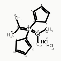 C[C](C)=[Zr]([C]1=CC=CC1)([C]1=CC=CC1)=[Ge]([CH3])[CH3].Cl.Cl